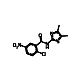 Cc1nc(NC(=O)c2cc([N+](=O)[O-])ccc2Cl)sc1C